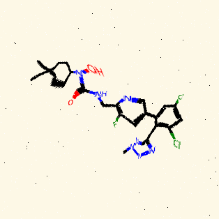 Cn1nnc(-c2c(Cl)cc(Cl)cc2-c2cnc(CNC(=O)N(O)C3CCC(C)(C)CC3)c(F)c2)n1